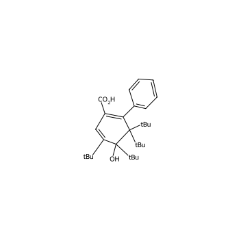 CC(C)(C)C1=CC(C(=O)O)=C(c2ccccc2)C(C(C)(C)C)(C(C)(C)C)C1(O)C(C)(C)C